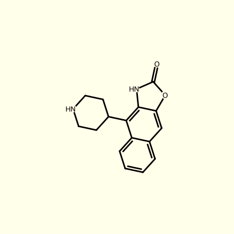 O=c1[nH]c2c(C3CCNCC3)c3ccccc3cc2o1